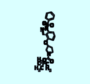 CC(C)(C)OC(=O)N1CCC(Oc2cccc3c2cnn3S(=O)(=O)c2ccccc2)C1